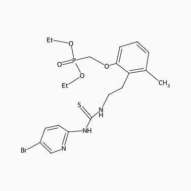 CCOP(=O)(COc1cccc(C)c1CCNC(=S)Nc1ccc(Br)cn1)OCC